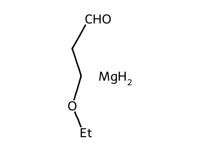 CCOCCC=O.[MgH2]